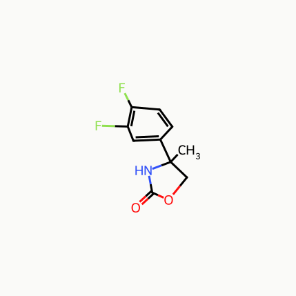 CC1(c2ccc(F)c(F)c2)COC(=O)N1